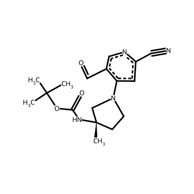 CC(C)(C)OC(=O)N[C@@]1(C)CCN(c2cc(C#N)ncc2C=O)C1